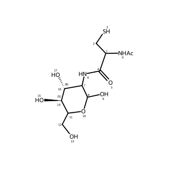 CC(=O)NC(CS)C(=O)NC1C(O)OC(CO)[C@@H](O)[C@@H]1O